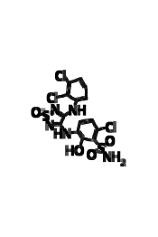 NS(=O)(=O)c1c(Cl)ccc(Nc2n[s+]([O-])nc2Nc2cccc(Cl)c2Cl)c1O